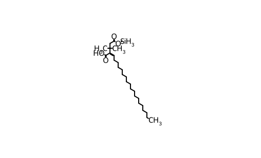 CCCCCCCCCCCCCCCCCCC=C(C(=O)O)C(C)(C)CC(=O)O[SiH3]